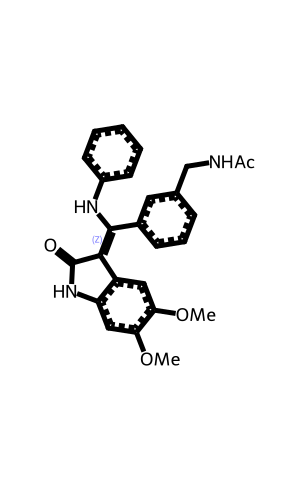 COc1cc2c(cc1OC)/C(=C(/Nc1ccccc1)c1cccc(CNC(C)=O)c1)C(=O)N2